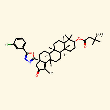 CC(C)C1=C2[C@H]3CC[C@@H]4[C@@]5(C)CC[C@H](OC(=O)CC(C)(C)C(=O)O)C(C)(C)[C@@H]5CC[C@@]4(C)[C@]3(C)CC[C@@]2(c2nnc(-c3cccc(Cl)c3)o2)CC1=O